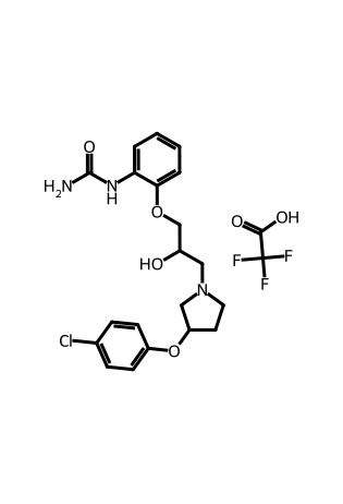 NC(=O)Nc1ccccc1OCC(O)CN1CCC(Oc2ccc(Cl)cc2)C1.O=C(O)C(F)(F)F